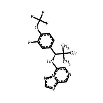 CC(C)(O)[C@@H](Nc1cncc2ncnn12)c1ccc(OC(F)(F)F)c(F)c1